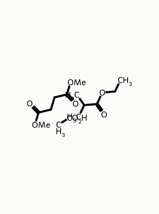 CC(=O)O.CCOC(=O)C(C)C.COC(=O)CCC(=O)OC